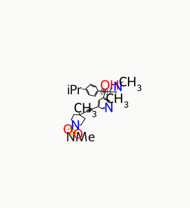 CNS(=O)(=O)N1CCC(C)(C#Cc2cncc([C@@](O)(c3ccc(C(C)C)cc3)C3(C)CN(C)C3)c2)CC1